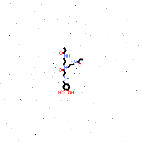 C=CC(=O)NCCCN(CCCNC(=O)C=C)C(=O)CCNCc1ccc(O)c(O)c1